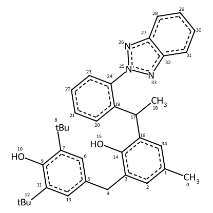 Cc1cc(Cc2cc(C(C)(C)C)c(O)c(C(C)(C)C)c2)c(O)c(C(C)c2ccccc2-n2nc3ccccc3n2)c1